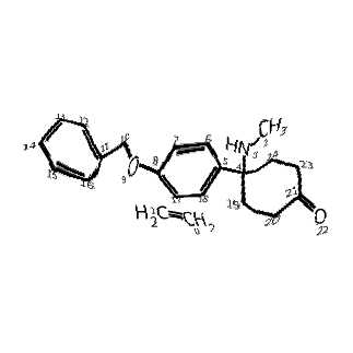 C=C.CNC1(c2ccc(OCc3ccccc3)cc2)CCC(=O)CC1